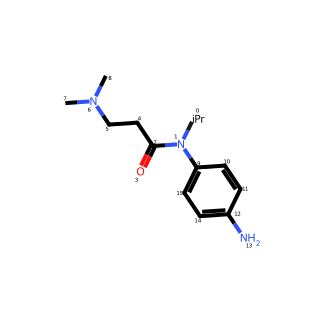 CC(C)N(C(=O)CCN(C)C)c1ccc(N)cc1